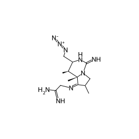 CC1CN2C(=N)NC(CN=[N+]=[N-])[C@H](C)[C@@]2(C)/C1=N\CC(=N)N